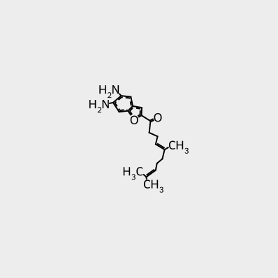 CC(C)=CCC/C(C)=C/CCC(=O)c1cc2cc(N)c(N)cc2o1